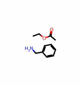 CCOC(C)=O.NCc1ccccc1